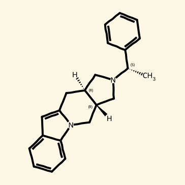 C[C@@H](c1ccccc1)N1C[C@@H]2Cn3c(cc4ccccc43)C[C@H]2C1